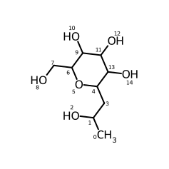 CC(O)CC1OC(CO)C(O)C(O)C1O